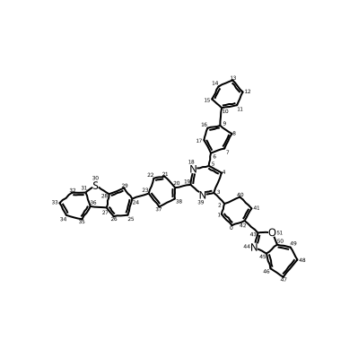 C1=CC(c2cc(-c3ccc(-c4ccccc4)cc3)nc(-c3ccc(-c4ccc5c(c4)sc4ccccc45)cc3)n2)CC=C1c1nc2ccccc2o1